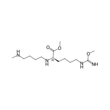 CNCCCCN[C@H](CCCCNC(=N)OC)C(=O)OC